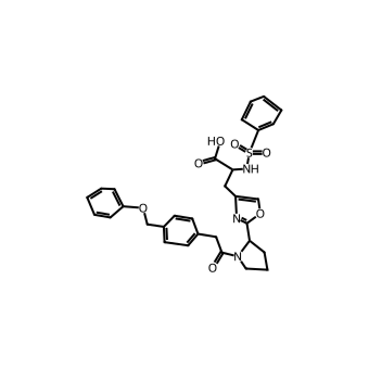 O=C(O)C(Cc1coc(C2CCCN2C(=O)Cc2ccc(COc3ccccc3)cc2)n1)NS(=O)(=O)c1ccccc1